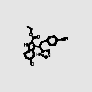 CCOC(=O)c1[nH]c2ccc(Cl)cc2c1C(Cc1ccc(C#N)cc1)c1cnc[nH]1